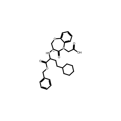 O=C(O)CN1C(=O)[C@@H](NC(CCC2CCCCC2)C(=O)OCc2ccccc2)COc2ccccc21